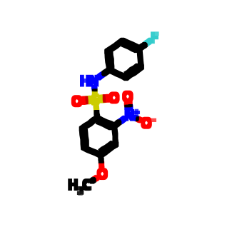 COc1ccc(S(=O)(=O)Nc2ccc(F)cc2)c([N+](=O)[O-])c1